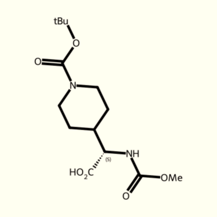 COC(=O)N[C@H](C(=O)O)C1CCN(C(=O)OC(C)(C)C)CC1